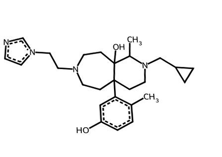 Cc1ccc(O)cc1C12CCN(CCn3ccnc3)CCC1(O)C(C)N(CC1CC1)CC2